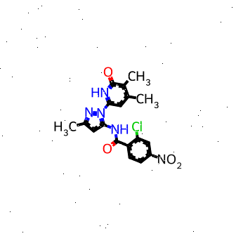 Cc1cc(NC(=O)c2ccc([N+](=O)[O-])cc2Cl)n(-c2cc(C)c(C)c(=O)[nH]2)n1